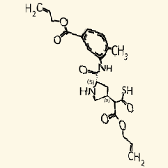 C=CCOC(=O)c1ccc(C)c(NC(=O)[C@@H]2C[C@@H](C(C(=O)S)C(=O)OCC=C)CN2)c1